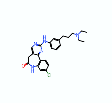 CCN(CC)CCCc1cccc(Nc2ncc3c(n2)-c2ccc(Cl)cc2NC(=O)C3)c1